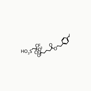 O=C(CCCC(=O)OC(CS(=O)(=O)O)(C(F)(F)F)C(F)(F)F)OCCc1ccc(I)cc1